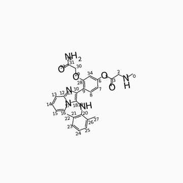 CNCC(=O)Oc1ccc(-c2nc3ccccn3c2Nc2c(C)cccc2C)c(OCC(N)=O)c1